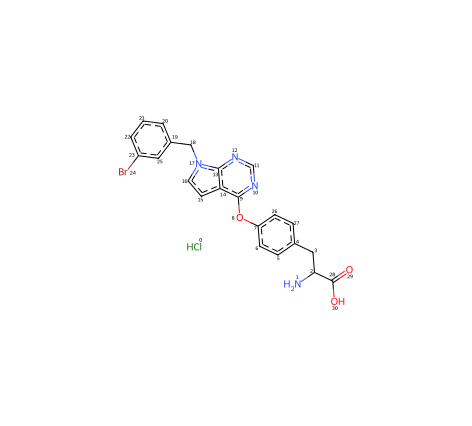 Cl.NC(Cc1ccc(Oc2ncnc3c2ccn3Cc2cccc(Br)c2)cc1)C(=O)O